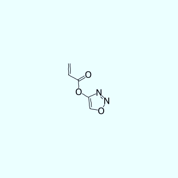 C=CC(=O)Oc1conn1